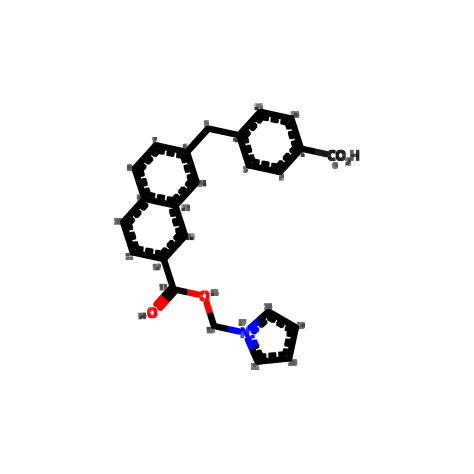 O=C(O)c1ccc(Cc2ccc3ccc(C(=O)OCn4cccc4)cc3c2)cc1